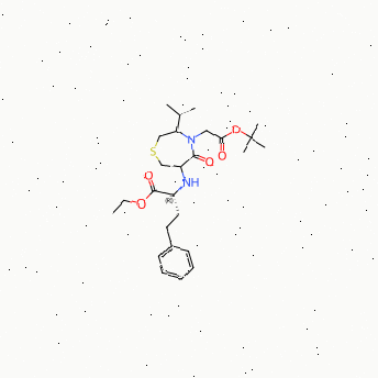 CCOC(=O)[C@@H](CCc1ccccc1)NC1CSCC(C(C)C)N(CC(=O)OC(C)(C)C)C1=O